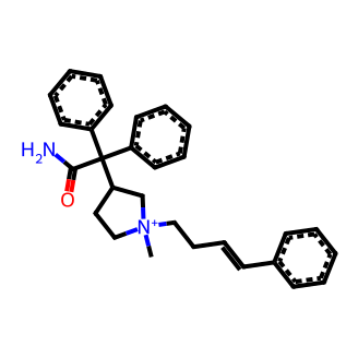 C[N+]1(CC/C=C/c2ccccc2)CCC(C(C(N)=O)(c2ccccc2)c2ccccc2)C1